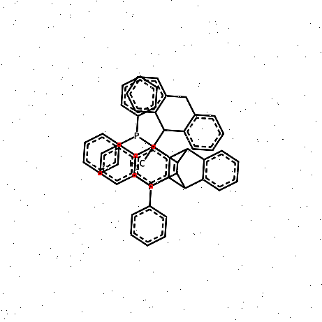 CC(C1=C(P(c2ccccc2)c2ccccc2)C2c3ccccc3C1c1ccccc12)(C1c2ccccc2Cc2ccccc21)P(c1ccccc1)c1ccccc1